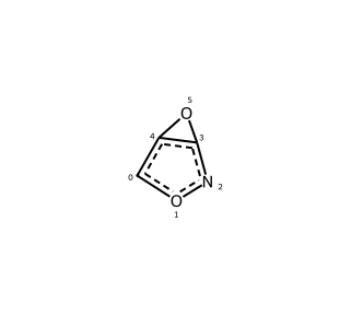 c1onc2c1O2